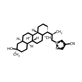 C[C@@H](Cn1cc(C#N)cn1)[C@H]1CCC[C@H]2[C@@H]3CC[C@@H]4C[C@](C)(O)CC[C@@H]4[C@H]3CC[C@]12C